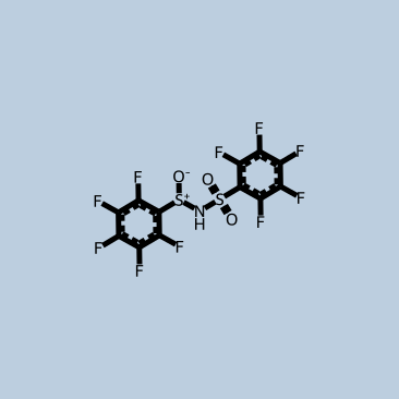 O=S(=O)(N[S+]([O-])c1c(F)c(F)c(F)c(F)c1F)c1c(F)c(F)c(F)c(F)c1F